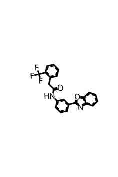 O=C(Cc1ccccc1C(F)(F)F)Nc1cccc(-c2nc3ccccc3o2)c1